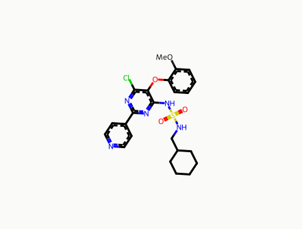 COc1ccccc1Oc1c(Cl)nc(-c2ccncc2)nc1NS(=O)(=O)NCC1CCCCC1